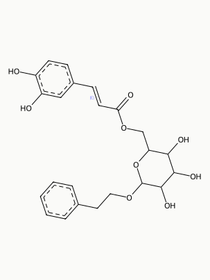 O=C(/C=C/c1ccc(O)c(O)c1)OCC1OC(OCCc2ccccc2)C(O)C(O)C1O